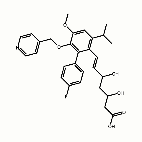 COc1cc(C(C)C)c(/C=C/C(O)CC(O)CC(=O)O)c(-c2ccc(F)cc2)c1OCc1ccncc1